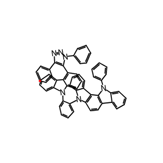 c1ccc(-c2nnn(-c3ccccc3)c2-c2cccc3c2c2ccccc2n3-c2ccccc2-n2c3ccccc3c3c2ccc2c4ccccc4n(-c4ccccc4)c23)cc1